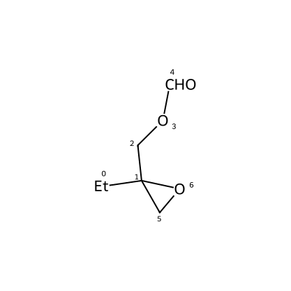 CCC1(COC=O)CO1